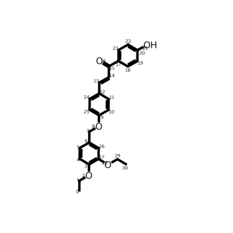 CCOc1ccc(COc2ccc(/C=C/C(=O)c3ccc(O)cc3)cc2)cc1OCC